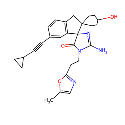 Cc1cnc(CCN2C(=O)C3(N=C2N)c2cc(C#CC4CC4)ccc2CC32CCC(O)CC2)o1